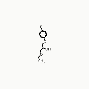 CCOCC(O)COc1ccc(F)cc1